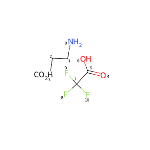 NCCC(=O)O.O=C(O)C(F)(F)F